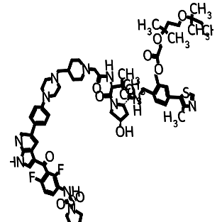 CCC(C)(C)OCCC(C)(C)OCC(=O)OCc1cc(-c2scnc2C)ccc1CNC(=O)[C@@H]1C[C@@H](O)CN1C(=O)[C@@H](NC(=O)CN1CCC(CN2CCN(c3ccc(-c4cnc5[nH]cc(C(=O)c6c(F)ccc(NS(=O)(=O)N7CC[C@@H](F)C7)c6F)c5c4)cc3)CC2)CC1)C(C)(C)C